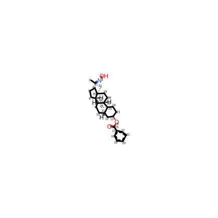 CC(=NO)[C@H]1CC[C@H]2[C@@H]3CC[C@H]4C[C@H](OC(=O)c5ccccc5)CC[C@]4(C)[C@H]3CC[C@]12C